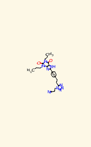 CCCn1c(=O)c2[nH]c(C34CCC(CCc5nnnn5CCC#N)(CC3)CC4)nc2n(CCC)c1=O